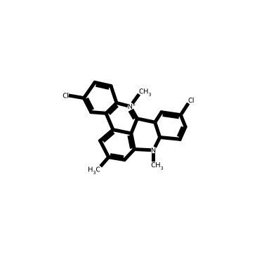 Cc1cc2c3c([n+](C)c4ccc(Cl)cc4c3c1)C1C=C(Cl)C=CC1N2C